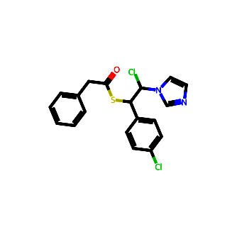 O=C(Cc1ccccc1)SC(c1ccc(Cl)cc1)C(Cl)n1ccnc1